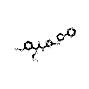 CCO[C@H](C(=O)Nc1nnc(N[C@@H]2CCN(c3nccnn3)C2)s1)c1cccc(OC)c1